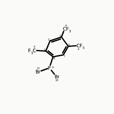 FC(F)(F)c1cc(C(F)(F)F)c(C(F)(F)F)cc1P(Br)Br